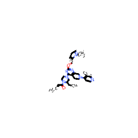 C=CC(=O)N1CCN(c2nc(OC[C@@H]3CCCN3C)nc3c2CCN(c2ccncc2C(F)(F)F)C3)CC1CC#N